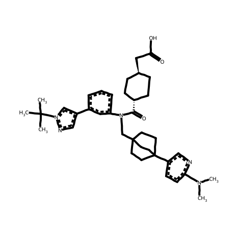 CN(C)c1ccc(C23CCC(CN(c4cccc(-c5cnn(C(C)(C)C)c5)c4)C(=O)[C@H]4CC[C@H](CC(=O)O)CC4)(CC2)CC3)cn1